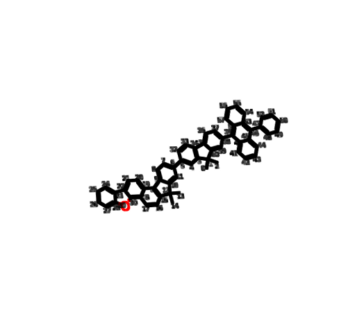 CC1(C)c2cc(-c3ccc4c(c3)C(C)(C)c3ccc5c(ccc6c7ccccc7oc56)c3-4)ccc2-c2ccc(-c3c4ccccc4c(-c4ccccc4)c4ccccc34)cc21